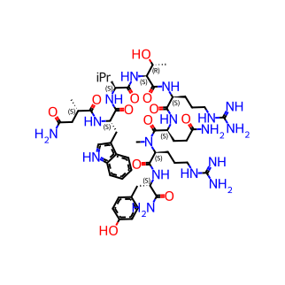 CC(C)[C@H](NC(=O)[C@H](Cc1c[nH]c2ccccc12)NC(=O)[C@@H](C)CC(N)=O)C(=O)N[C@H](C(=O)N[C@@H](CCCNC(=N)N)C(=O)N[C@@H](CCC(N)=O)C(=O)N(C)[C@@H](CCCNC(=N)N)C(=O)N[C@@H](Cc1ccc(O)cc1)C(N)=O)[C@@H](C)O